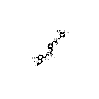 Cc1ccc(CNC(=O)Cc2cccc(CC(C)(C)NC[C@@H](O)c3ccc(O)c4[nH]c(=O)ccc34)c2)cc1C